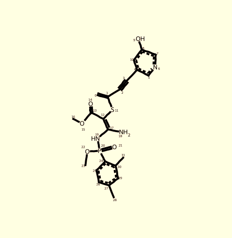 C=C(C#Cc1cncc(O)c1)S/C(C(=O)OC)=C(\N)NP(=O)(OC)c1ccc(C)cc1C